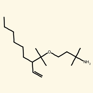 C=CC(CCCCCC)C(C)(C)OCCC(C)(C)N